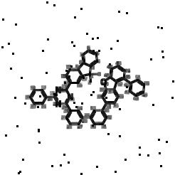 CC1(C)c2ccccc2-c2ccc(-c3nc(-c4ccccc4)nc(-c4cccc(-c5cccc(-c6ccc7c(c6)oc6cccc(-c8ccccc8)c67)c5)c4)n3)cc21